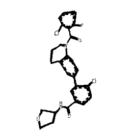 O=C(NC1CCOC1)c1ccc(Cl)c(-c2ccc3c(c2)CCCN3C(=O)c2c(F)cccc2Cl)c1